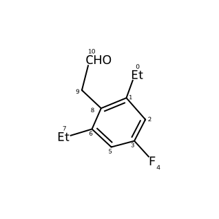 CCc1cc(F)cc(CC)c1CC=O